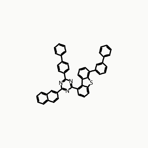 c1ccc(-c2ccc(-c3nc(-c4ccc5ccccc5c4)nc(-c4cccc5sc6c(-c7cccc(-c8ccccc8)c7)cccc6c45)n3)cc2)cc1